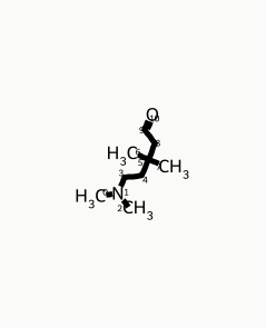 CN(C)CCC(C)(C)CC=O